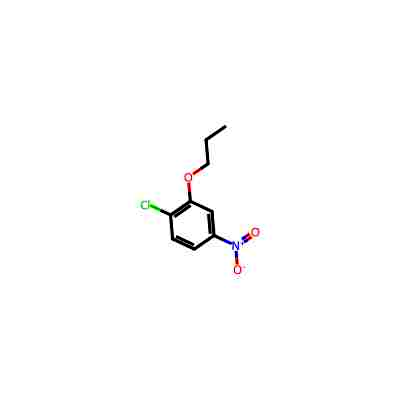 CCCOc1cc([N+](=O)[O-])ccc1Cl